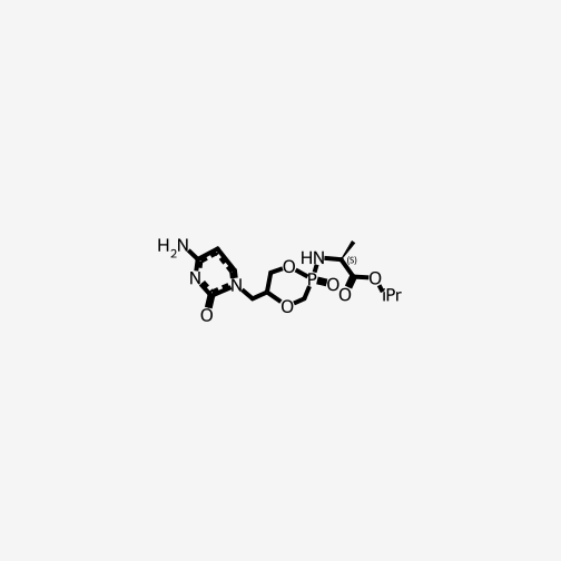 CC(C)OC(=O)[C@H](C)NP1(=O)COC(Cn2ccc(N)nc2=O)CO1